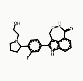 O=C1NOCc2c(-c3ccc(C4CCCN4CCO)c(F)c3)[nH]c3cccc1c23